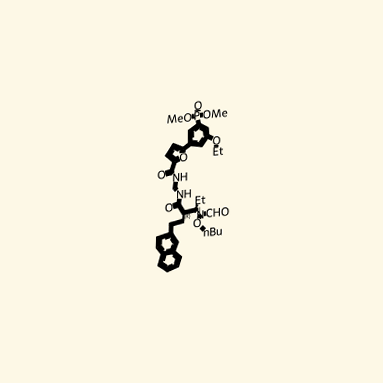 CCCCON(C=O)[C@H](CC)[C@@H](CCc1ccc2ccccc2c1)C(=O)NCNC(=O)c1ccc(-c2cc(OCC)cc(P(=O)(OC)OC)c2)o1